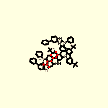 CC(C)(C)c1cccc(-c2cc(C(C)(C)C)ccc2Nc2cc(-n3c4ccc(C(C)(C)C)cc4c4cc(C(C)(C)C)ccc43)c(-c3ccc4c(c3)n3c5cc(-c6ccccc6)ccc5nc3n4-c3ccccc3)c(C#N)c2-c2ccc(Nc3ccccc3)c(-n3cnc4ccc(-c5ccccc5)cc43)c2)c1